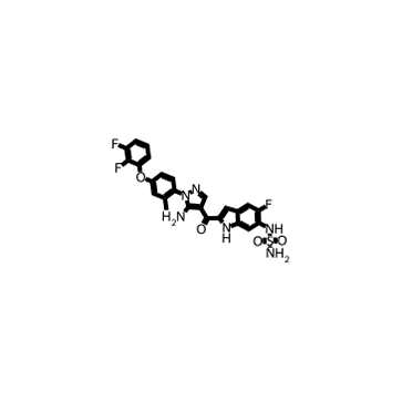 Cc1cc(Oc2cccc(F)c2F)ccc1-n1ncc(C(=O)c2cc3cc(F)c(NS(N)(=O)=O)cc3[nH]2)c1N